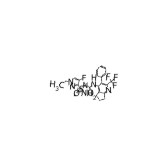 CCn1cc(F)c([S@@](N)(=O)=NC(=O)Nc2c3c(nc(C(F)(F)F)c2-c2ccccc2)CCC3)n1